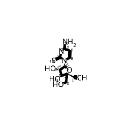 C#C[C@]1(CO)O[C@@H](n2ccc(N)nc2=S)[C@@H](O)[C@H]1O